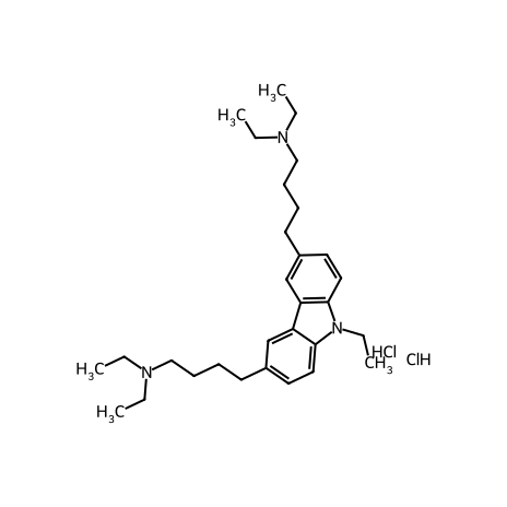 CCN(CC)CCCCc1ccc2c(c1)c1cc(CCCCN(CC)CC)ccc1n2CC.Cl.Cl